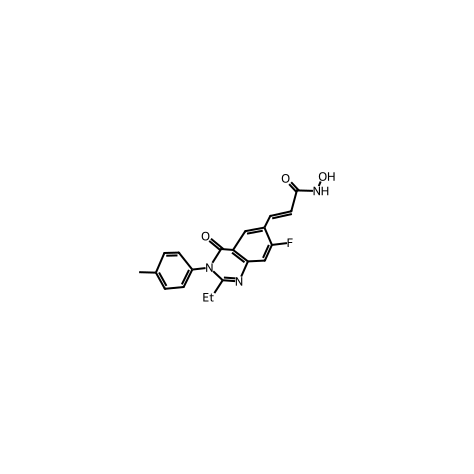 CCc1nc2cc(F)c(/C=C/C(=O)NO)cc2c(=O)n1-c1ccc(C)cc1